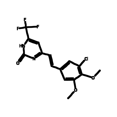 COc1cc(C=Cc2cc(C(F)(F)F)[nH]c(=O)n2)cc(Cl)c1OC